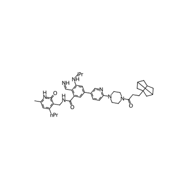 CCCc1cc(C)[nH]c(=O)c1CNC(=O)c1cc(-c2ccc(N3CCN(C(=O)CCC45CC6CC4CC6C5)CC3)nc2)cc(NC(C)C)c1C=N